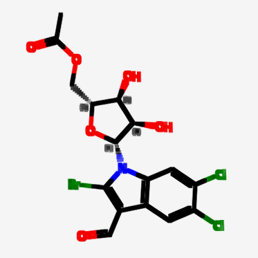 CC(=O)OC[C@H]1O[C@@H](n2c(Br)c(C=O)c3cc(Cl)c(Cl)cc32)[C@H](O)[C@@H]1O